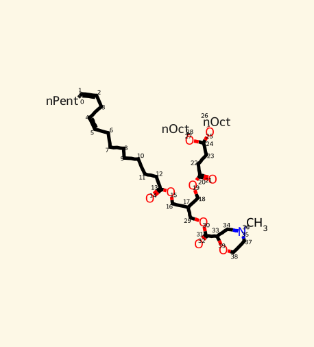 CCCCC/C=C\C/C=C\CCCCCCCC(=O)OCC(COC(=O)CCC(OCCCCCCCC)OCCCCCCCC)COC(=O)C1CN(C)CCO1